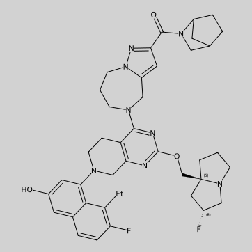 CCc1c(F)ccc2cc(O)cc(N3CCc4c(nc(OC[C@@]56CCCN5C[C@H](F)C6)nc4N4CCCn5nc(C(=O)N6CC7CCC6C7)cc5C4)C3)c12